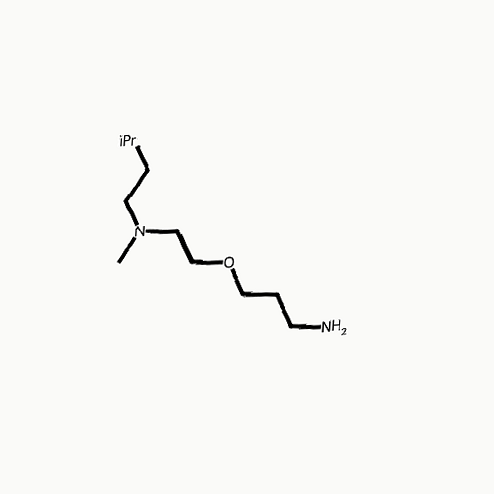 CC(C)CCN(C)CCOCCCN